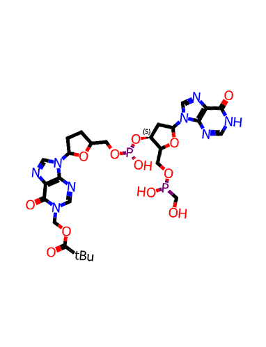 CC(C)(C)C(=O)OCn1cnc2c(ncn2C2CCC(COP(O)O[C@H]3CC(n4cnc5c(=O)[nH]cnc54)OC3COP(O)CO)O2)c1=O